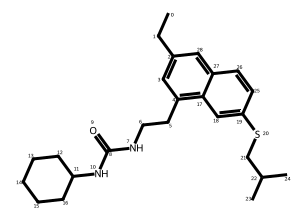 CCc1cc(CCNC(=O)NC2CCCCC2)c2cc(SCC(C)C)ccc2c1